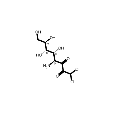 N[C@H](C(=O)C(=O)C(Cl)Cl)[C@@H](O)[C@H](O)[C@H](O)CO